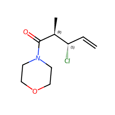 C=C[C@H](Cl)[C@H](C)C(=O)N1CCOCC1